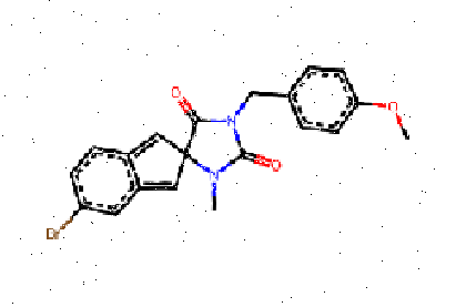 COc1ccc(CN2C(=O)N(C)C3(C=c4ccc(Br)cc4=C3)C2=O)cc1